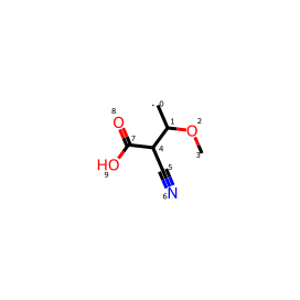 [CH2]C(OC)C(C#N)C(=O)O